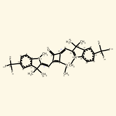 COC1=C(/C=C2\N(C)c3ccc(C(F)(F)F)cc3C2(C)C)C(=O)/C1=C/C1=[N+](C)c2ccc(C(F)(F)F)cc2C1(C)C